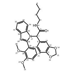 CCCCNC(=O)C(c1ccc2c(c1)OCO2)n1c(-c2cccc(OC)c2OC)nc2ccccc21